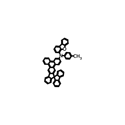 Cc1ccc(N(c2ccc3c(c2)c2ccccc2c2cc4c(cc32)C2(c3ccccc3-c3ccccc32)c2ccccc2-4)c2cccc3c2oc2ccccc23)cc1